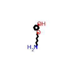 NCCCCCCOc1cccc(O)c1